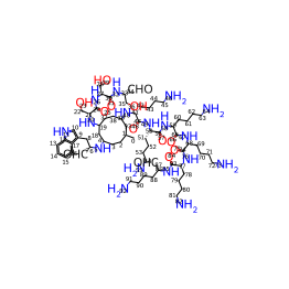 CC1CCC(N[C@@H](C=O)Cc2c[nH]c3ccccc23)CC(N[C@@H](CO)C(=O)N[C@@H](CO)C(=O)N[C@H](C=O)CO)CCC(N[C@H](CCCCN)C(=O)N[C@@H](CCCCN)C(=O)N[C@@H](CCCCN)C(=O)N[C@@H](CCCCN)C(=O)N[C@@H](CCCCN)C(=O)N[C@H](C=O)CCCCN)C1